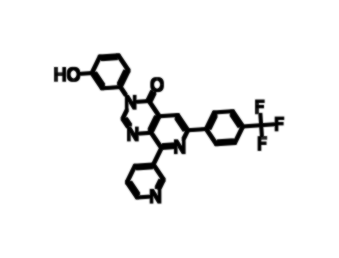 O=c1c2cc(-c3ccc(C(F)(F)F)cc3)nc(-c3cccnc3)c2ncn1-c1cccc(O)c1